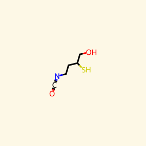 O=C=NCCC(S)CO